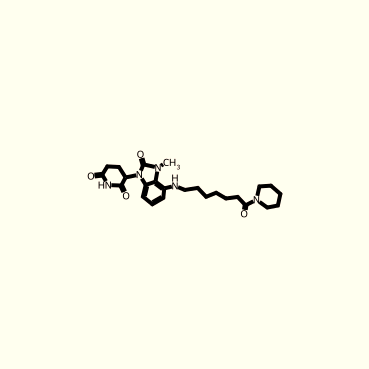 Cn1c(=O)n(C2CCC(=O)NC2=O)c2cccc(NCCCCCCC(=O)N3CCCCC3)c21